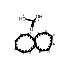 O=C(O)O.c1cccc2ccccccc=2cc1